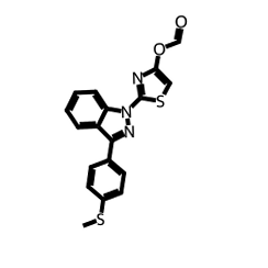 CSc1ccc(-c2nn(-c3nc(OC=O)cs3)c3ccccc23)cc1